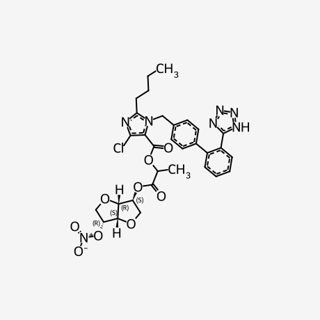 CCCCc1nc(Cl)c(C(=O)OC(C)C(=O)O[C@H]2CO[C@H]3[C@@H]2OC[C@H]3O[N+](=O)[O-])n1Cc1ccc(-c2ccccc2-c2nnn[nH]2)cc1